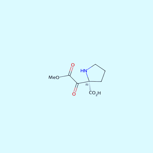 COC(=O)C(=O)[C@]1(C(=O)O)CCCN1